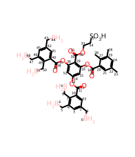 BCc1cc(CB)c(CB)c(C(=O)Oc2cc(OC(=O)c3cc(C)cc(C)c3C)c(C(=O)OCCS(=O)(=O)O)c(OC(=O)c3cc(CB)cc(CB)c3CB)c2)c1